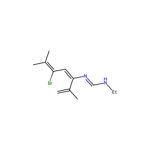 C=C(C)C(=C\C(Br)=C(C)C)/N=C/NCC